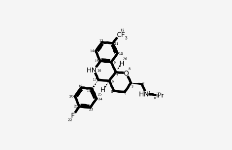 CC(C)NC[C@H]1CC[C@@H]2[C@H](O1)c1cc(C(F)(F)F)ccc1N[C@H]2c1ccc(F)cc1